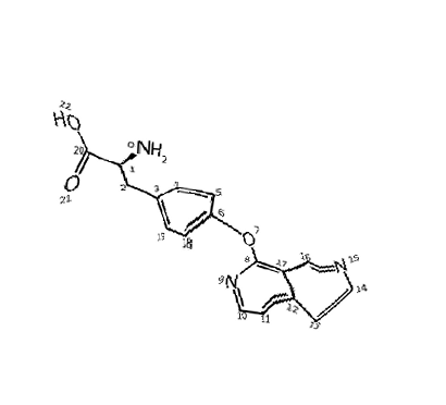 N[C@@H](Cc1ccc(Oc2nccc3ccncc23)cc1)C(=O)O